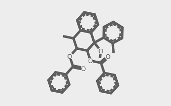 COC1(c2ccccc2C)c2ccccc2C(C)C(OC(=O)c2ccccc2)C1OC(=O)c1ccccc1